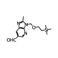 Cc1nc2cc(C=O)cnc2n1COCC[Si](C)(C)C